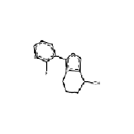 OC1CCCn2c(-c3cccnc3F)ccc21